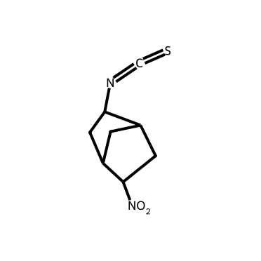 O=[N+]([O-])C1CC2CC1CC2N=C=S